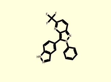 FC(F)(F)c1ccc2nn(-c3ccccc3)c(-c3ccc4[nH]ncc4c3)c2n1